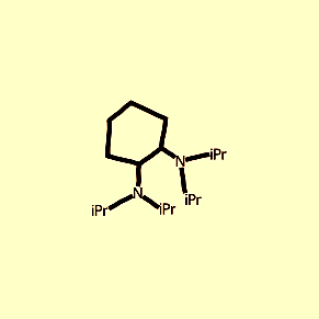 CC(C)N(C(C)C)C1CCCCC1N(C(C)C)C(C)C